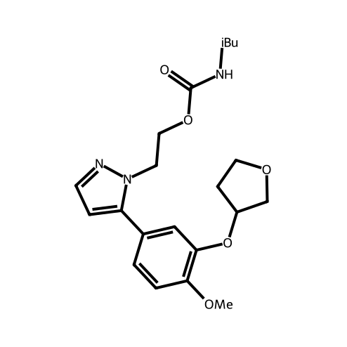 CCC(C)NC(=O)OCCn1nccc1-c1ccc(OC)c(OC2CCOC2)c1